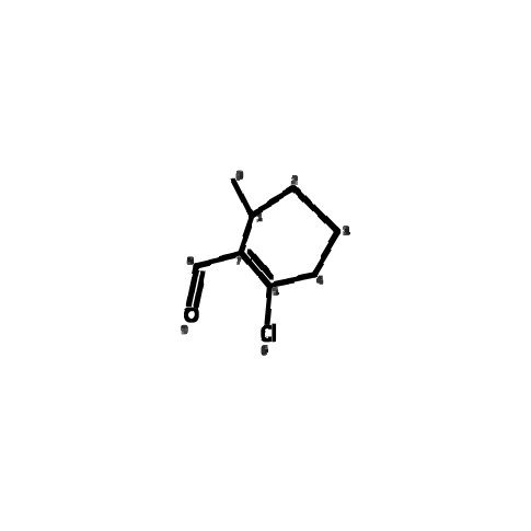 CC1CCCC(Cl)=C1C=O